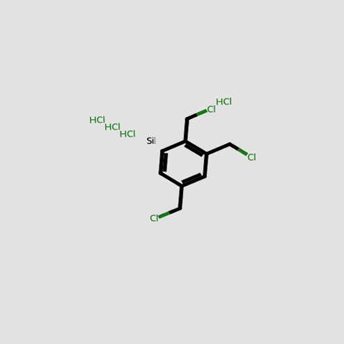 Cl.Cl.Cl.Cl.ClCc1ccc(CCl)c(CCl)c1.[Si]